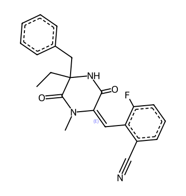 CCC1(Cc2ccccc2)NC(=O)/C(=C\c2c(F)cccc2C#N)N(C)C1=O